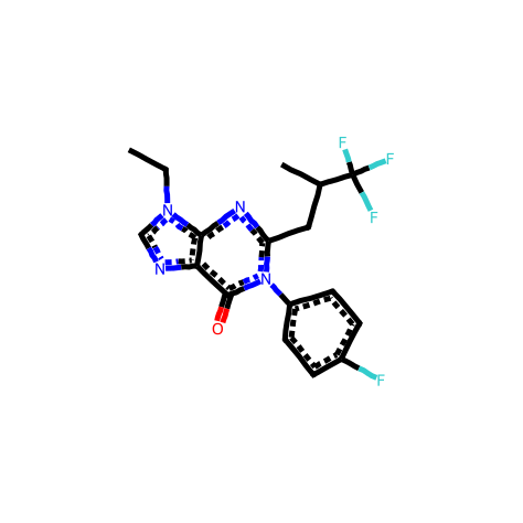 CCn1cnc2c(=O)n(-c3ccc(F)cc3)c(CC(C)C(F)(F)F)nc21